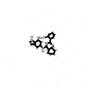 COc1ccccc1-c1nc(Nc2ccc3[nH]ncc3c2)c2ccccc2n1